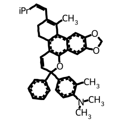 CC1=C(/C=C\C(C)C)CCc2c3c(c4cc5c(cc4c21)OCO5)OC(c1ccccc1)(c1ccc(N(C)C)c(C)c1)C=C3